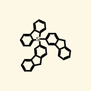 c1ccc2c(c1)Cc1ccc([Si]3(c4ccc5c(c4)-c4ccccc4C5)c4ccccc4-c4ccccc43)cc1-2